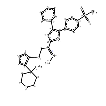 COC1(c2ccsc2OC/C(=N\O)c2nc(-c3ccccc3)c(-c3ccc(S(N)(=O)=O)cc3)o2)CCOCC1